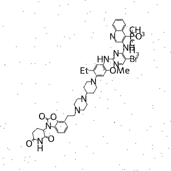 CCc1cc(Nc2ncc(Br)c(Nc3cnc4ccccc4c3P(C)(C)=O)n2)c(OC)cc1N1CCC(N2CCN(CCc3cccc4c3oc(=O)n4C3CCC(=O)NC3=O)CC2)CC1